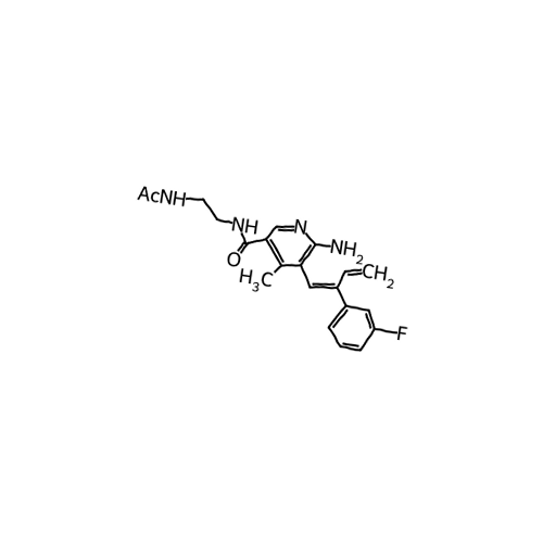 C=C/C(=C\c1c(N)ncc(C(=O)NCCNC(C)=O)c1C)c1cccc(F)c1